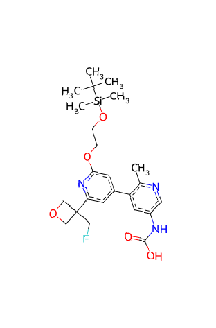 Cc1ncc(NC(=O)O)cc1-c1cc(OCCO[Si](C)(C)C(C)(C)C)nc(C2(CF)COC2)c1